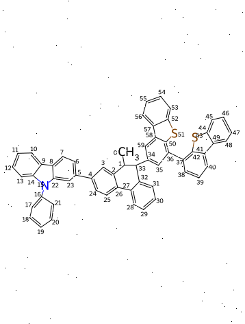 CC1c2cc(-c3ccc4c5ccccc5n(-c5ccccc5)c4c3)ccc2-c2ccccc2C1c1cc(-c2cccc3c2sc2ccccc23)c2sc3ccccc3c2c1